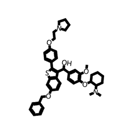 COc1cc(C(O)c2c(-c3ccc(OCCN4CCCC4)cc3)sc3cc(OCc4ccccc4)ccc23)ccc1OC1CCCCC1N(C)C